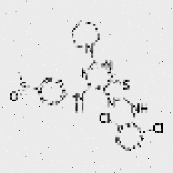 C[S+]([O-])c1ccc(Nc2nc(N3CCCCC3)nc3sc(Nc4c(Cl)cccc4Cl)nc23)cc1